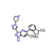 COc1cc2[nH]nc(-c3cnn(C4CCN(C)C4)c3)c2nc1-c1cccc2c1CCC2C#N